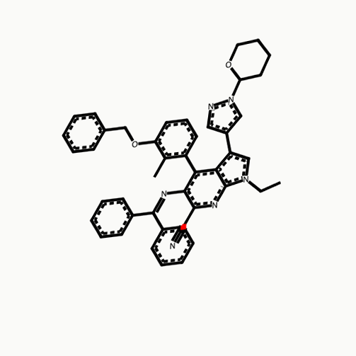 CCn1cc(-c2cnn(C3CCCCO3)c2)c2c(-c3cccc(OCc4ccccc4)c3C)c(N=C(c3ccccc3)c3ccccc3)c(C#N)nc21